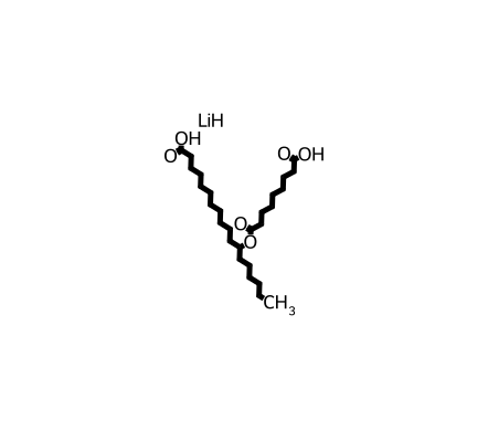 CCCCCCC(CCCCCCCCCCC(=O)O)OC(=O)CCCCCCCC(=O)O.[LiH]